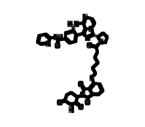 Nc1nccn2c([C@@H]3CCCN3C(=O)CCCCCSc3cccc4c3C(=O)N(C3CCC(=O)NC3=O)C4=O)nc(-c3ccc(C(=O)Nc4ccccn4)cc3)c12